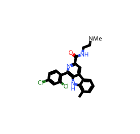 CNCCNC(=O)c1cc2c([nH]c3c(C)cccc32)c(-c2ccc(Cl)cc2Cl)n1